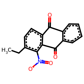 CCc1ccc2c(c1[N+](=O)[O-])C(=O)c1ccccc1C2=O